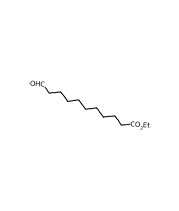 CCOC(=O)CCCCCCCCC[C]=O